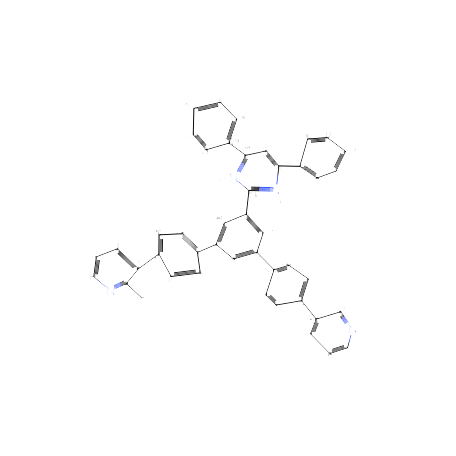 Cc1ncccc1-c1ccc(-c2cc(-c3ccc(-c4cccnc4)cc3)cc(-c3nc(-c4ccccc4)cc(-c4ccccc4)n3)c2)cc1